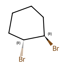 Br[C@@H]1CCCC[C@H]1Br